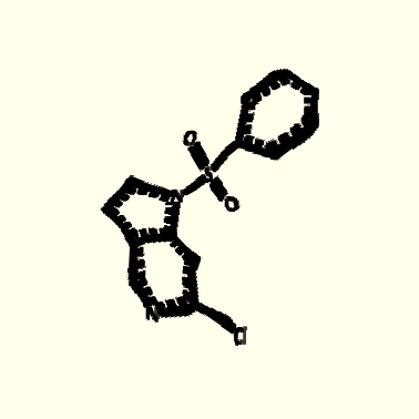 O=S(=O)(c1ccccc1)n1ccc2cnc(Cl)cc21